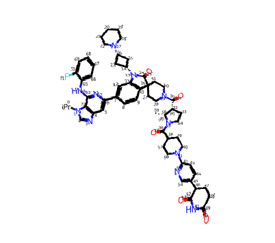 CC(C)n1cnc2cc(-c3ccc4c(c3)N([C@H]3C[C@@H](N5CCCCC5)C3)C(=O)C43CCN(C(=O)[C@@H]4CCN(C(=O)C5CCN(c6ccc(C7CCC(=O)NC7=O)cn6)CC5)[C@@H]4C)CC3)nc(Nc3ccccc3F)c21